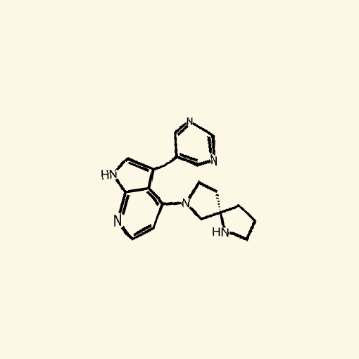 c1ncc(-c2c[nH]c3nccc(N4CC[C@@]5(CCCN5)C4)c23)cn1